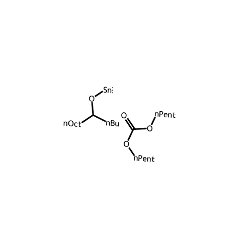 CCCCCCCCC(CCCC)[O][Sn].CCCCCOC(=O)OCCCCC